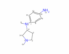 CN1CCC(N(C)c2ccc(N)cc2)C1